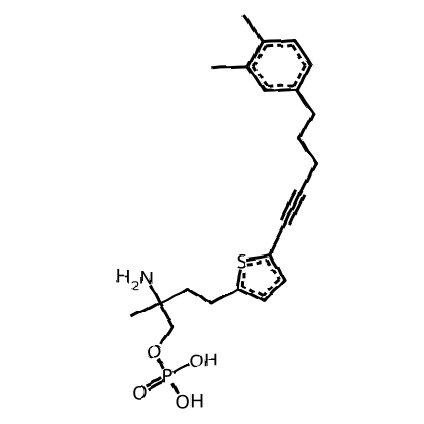 Cc1ccc(CCCC#Cc2ccc(CCC(C)(N)COP(=O)(O)O)s2)cc1C